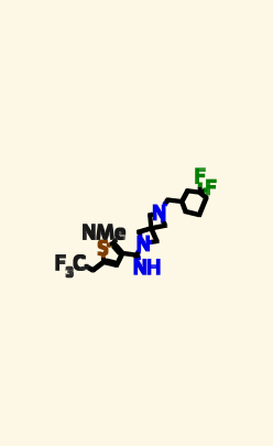 CNc1sc(CC(F)(F)F)cc1C(=N)N1CC2(CN(CC3CCCC(F)(F)C3)C2)C1